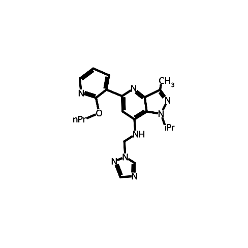 CCCOc1ncccc1-c1cc(NCn2cncn2)c2c(n1)c(C)nn2C(C)C